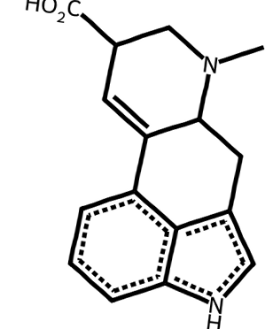 CN1CC(C(=O)O)C=C2c3cccc4[nH]cc(c34)CC21